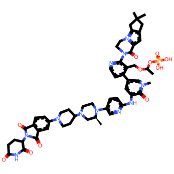 CC(OCc1c(-c2cc(Nc3ccc(N4CCN(C5CCN(c6ccc7c(c6)C(=O)N(C6CCC(=O)NC6=O)C7=O)CC5)C[C@@H]4C)cn3)c(=O)n(C)c2)ccnc1N1CCn2c(cc3c2CC(C)(C)C3)C1=O)OP(=O)(O)O